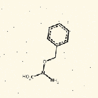 NN(OCc1ccccc1)C(=O)O